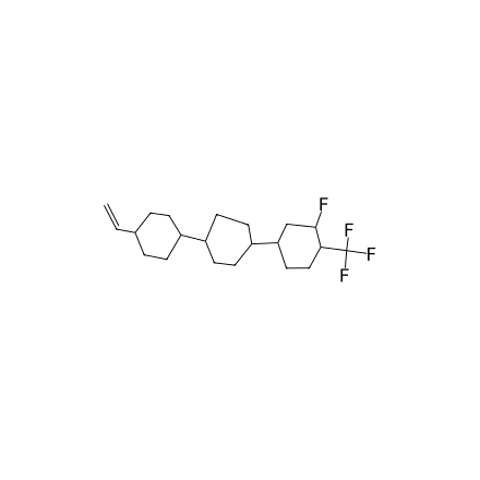 C=CC1CCC(C2CCC(C3CCC(C(F)(F)F)C(F)C3)CC2)CC1